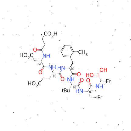 CCC(NC(=O)[C@H](CC(C)C)NC(=O)[C@@H](NC(=O)[C@H](Cc1ccccc1C)NC(=O)[C@H](CCC(=O)O)NC(=O)[C@H](CC(=O)O)NC(=O)CCC(=O)O)C(C)(C)C)B(O)O